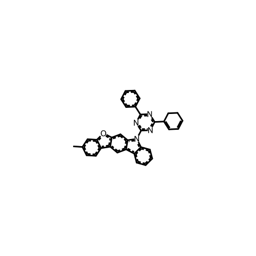 Cc1ccc2c(c1)oc1cc3c(cc12)c1ccccc1n3-c1nc(C2=CC=CCC2)nc(-c2ccccc2)n1